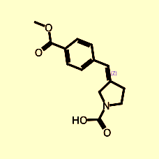 COC(=O)c1ccc(/C=C2/CCN(C(=O)O)C2)cc1